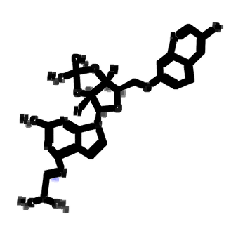 Cc1nc(/N=C/N(C)C)c2ccn([C@@H]3O[C@H](COc4ccc5cc(Br)cnc5c4)[C@H]4OC(C)(C)O[C@H]43)c2n1